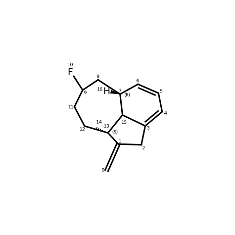 C=C1CC2=CC=C[C@H]3CC(F)CC[C@@]1(C)C23